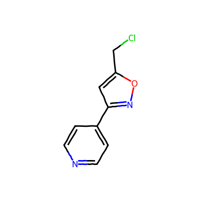 ClCc1cc(-c2ccncc2)no1